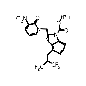 CC(C)(C)OC(=O)n1c(Cn2cccc([N+](=O)[O-])c2=O)nc2c(CC(C(F)(F)F)C(F)(F)F)cccc21